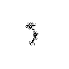 CCCc1c(OCCCOc2ccc(C(=O)CCCCC(=O)O)cc2F)ccc(C(C)=O)c1O